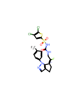 O=C(NC/C(F)=C1/CCc2cnn(-c3ccc(C(F)(F)F)cc3)c21)NS(=O)(=O)c1cc(Cl)c(Cl)s1